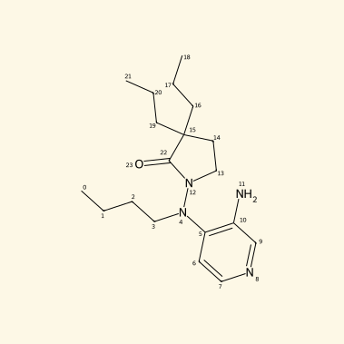 CCCCN(c1ccncc1N)N1CCC(CCC)(CCC)C1=O